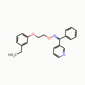 O=C(O)Cc1cccc(OCCON=C(c2ccccc2)c2cccnc2)c1